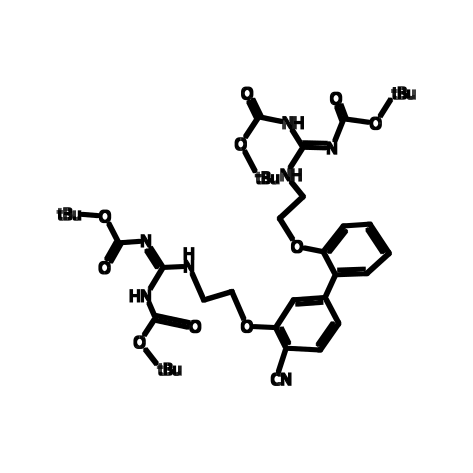 CC(C)(C)OC(=O)/N=C(/NCCOc1cc(-c2ccccc2OCCN/C(=N/C(=O)OC(C)(C)C)NC(=O)OC(C)(C)C)ccc1C#N)NC(=O)OC(C)(C)C